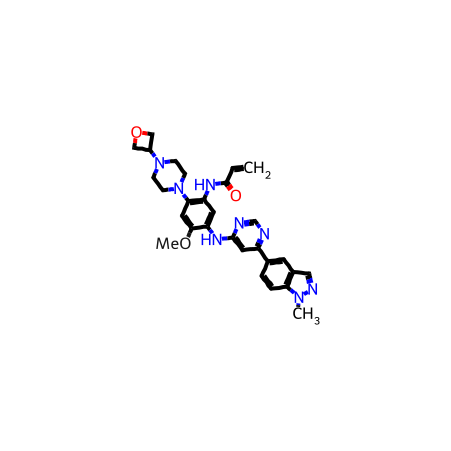 C=CC(=O)Nc1cc(Nc2cc(-c3ccc4c(cnn4C)c3)ncn2)c(OC)cc1N1CCN(C2COC2)CC1